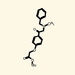 CN(CC(=O)c1ccc(OCC(=O)OC(C)(C)C)cc1)Cc1ccccc1